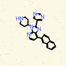 c1ccc2cc(-c3ccnc4c3nc(-c3cncnc3)n4C3CCNCC3)ccc2c1